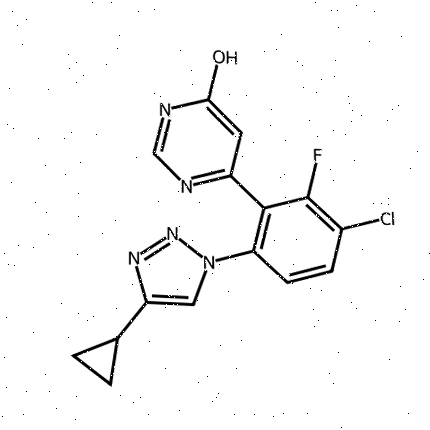 Oc1cc(-c2c(-n3cc(C4CC4)nn3)ccc(Cl)c2F)ncn1